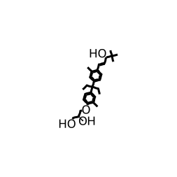 CCC(CC)(c1ccc(/C=C/C(O)C(C)(C)C)c(C)c1)c1ccc(OC[C@@H](O)CO)c(C)c1